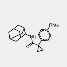 COc1ccc(C2(C(=O)NC3C4CC5CC(C4)CC3C5)CC2)cc1